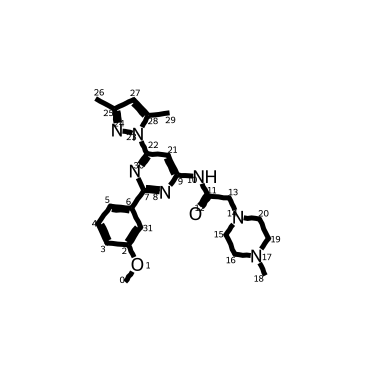 COc1cccc(-c2nc(NC(=O)CN3CCN(C)CC3)cc(-n3nc(C)cc3C)n2)c1